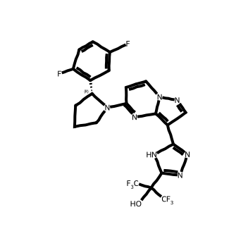 OC(c1nnc(-c2cnn3ccc(N4CCC[C@@H]4c4cc(F)ccc4F)nc23)[nH]1)(C(F)(F)F)C(F)(F)F